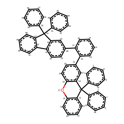 c1ccc(C2(c3ccccc3)c3ccccc3Oc3ccc(-c4ccccc4-c4ccc5c(c4)C(c4ccccc4)(c4ccccc4)c4ccccc4-5)cc32)cc1